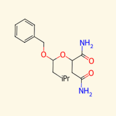 CC(C)CC(OCc1ccccc1)OC(CC(N)=O)C(N)=O